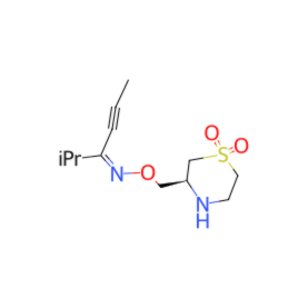 CC#C/C(=N\OC[C@H]1CS(=O)(=O)CCN1)C(C)C